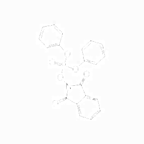 O=C1c2ccccc2C(=O)N1OP(=O)(Oc1ccccc1)Oc1ccccc1